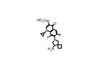 NC1CN(c2c(F)cc3c(=O)c(OC(=O)O)cn(C4CC4)c3c2F)CC12CCC2